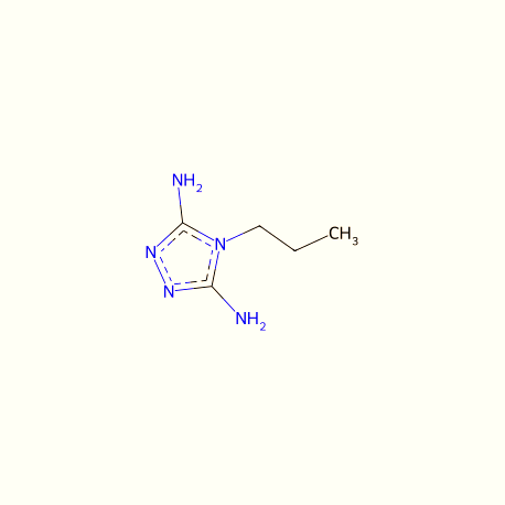 CCCn1c(N)nnc1N